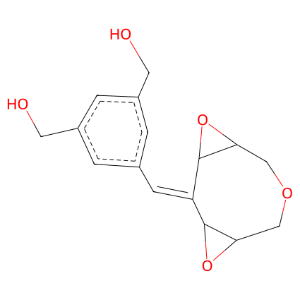 OCc1cc(C=C2C3OC3COCC3OC23)cc(CO)c1